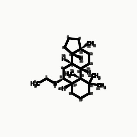 CCS[C@@H]1C[C@H]2[C@@H]3CCC[C@@]3(C)CC[C@@H]2[C@]2(C)[C@@H]1CCCC2(C)C